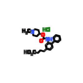 CN1CCC(OC(=O)Nc2cc(CCCC(=O)O)ccc2-c2ccccc2)CC1.Cl